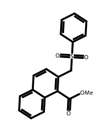 COC(=O)c1c(CS(=O)(=O)c2ccccc2)ccc2ccccc12